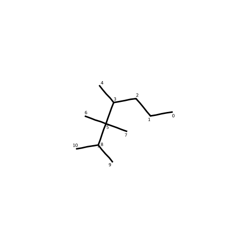 CCCC(C)C(C)(C)[C](C)C